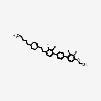 CCCCCC1CC=C(CCc2ccc(-c3ccc(-c4ccc(OCC)c(F)c4F)cc3)c(F)c2F)CC1